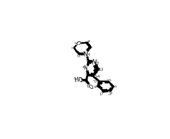 O=C(O)c1nc(N2CCOCC2)ncc1-c1ccccc1